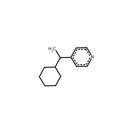 [CH2]C(c1ccncc1)C1CCCCC1